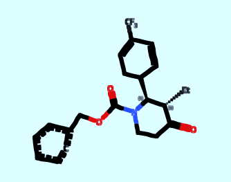 CC[C@@H]1C(=O)CCN(C(=O)OCc2ccccc2)[C@H]1C1C=CC(C(F)(F)F)=CC1